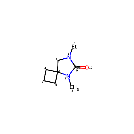 CCN1CC2(CCC2)N(C)C1=O